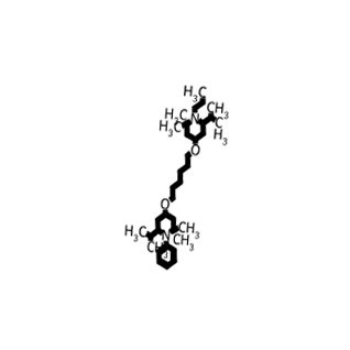 CCCN1C(C(C)C)CC(OCCCCCCOC2CC(C(C)C)N(c3ccccc3)C(C)(C)C2)CC1(C)C